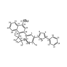 Cc1n[n+]2c(cc1-c1ccc(-c3ccccc3)s1)-c1cc(C(C)(C)C)c3ccccc3c1C(C)(C)C2(C)C